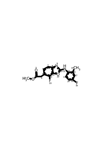 COC(=O)Cc1ccc2nc(Nc3ccc(F)cc3C)oc2c1F